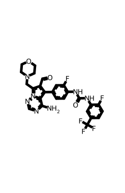 Nc1ncnn2c(CN3CCOCC3)c(C=O)c(-c3ccc(NC(=O)Nc4cc(C(F)(F)F)ccc4F)c(F)c3)c12